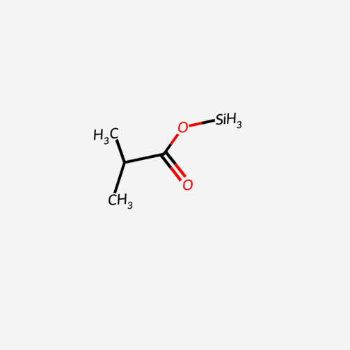 CC(C)C(=O)O[SiH3]